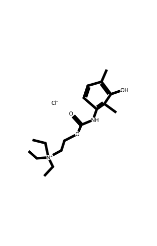 CC[N+](CC)(CC)CCOC(=O)Nc1ccc(C)c(O)c1C.[Cl-]